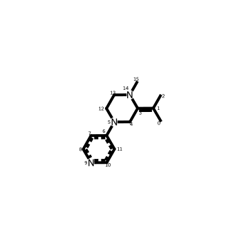 CC(C)=C1CN(c2ccncc2)CCN1C